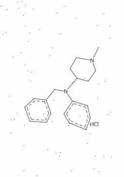 CN1CCC(N(Cc2ccccc2)c2ccccc2)CC1.Cl